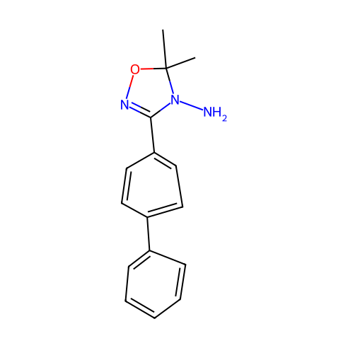 CC1(C)ON=C(c2ccc(-c3ccccc3)cc2)N1N